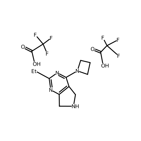 CCc1nc2c(c(N3CCC3)n1)CNC2.O=C(O)C(F)(F)F.O=C(O)C(F)(F)F